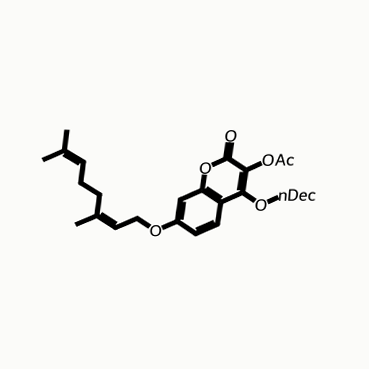 CCCCCCCCCCOc1c(OC(C)=O)c(=O)oc2cc(OCC=C(C)CCC=C(C)C)ccc12